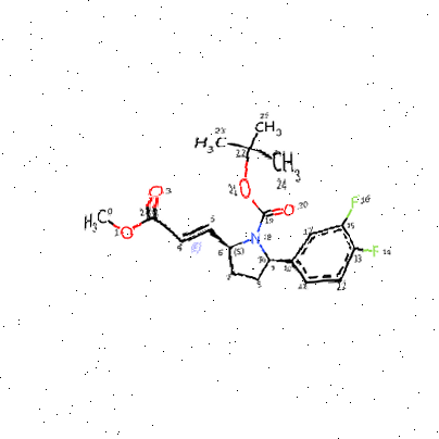 COC(=O)/C=C/[C@@H]1CC[C@H](c2ccc(F)c(F)c2)N1C(=O)OC(C)(C)C